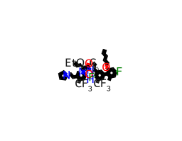 C=CCCCOc1cc(F)cc(C)c1-c1cc([C@H](CC(=O)OCC)NC(=O)[C@H](CC=C)n2cc(CCN3CCCC3)c(C(F)(F)F)cc2=O)c(F)c(C(F)(F)F)c1